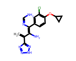 C=C(/C(N)=C(\N=C/N)c1ccc(OC2CC2)c(Cl)c1)c1nn[nH]n1